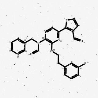 O=Cc1ccsc1-c1ccc(N(C=O)Cc2cccnc2)c(NCCc2cccc(F)c2)n1